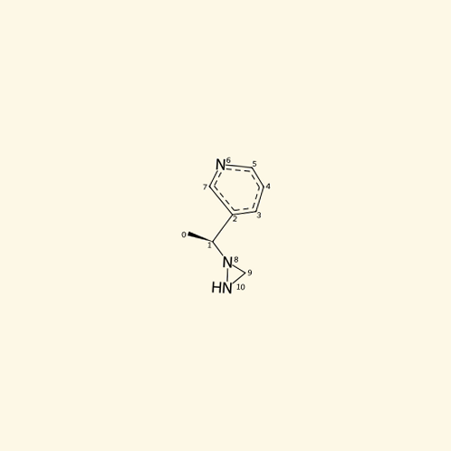 C[C@@H](c1cccnc1)N1CN1